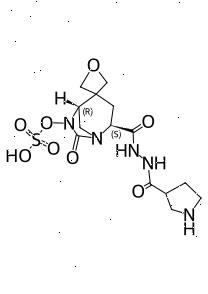 O=C(NNC(=O)[C@@H]1CC2(COC2)[C@@H]2CN1C(=O)N2OS(=O)(=O)O)C1CCNC1